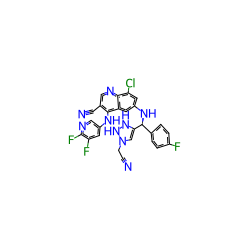 N#CCN1C=C([C@@H](Nc2cc(Cl)c3ncc(C#N)c(Nc4cnc(F)c(F)c4)c3c2)c2ccc(F)cc2)NN1